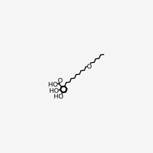 CCCCCCOCCCCCCCCCc1ccc(O)c(O)c1C(=O)O